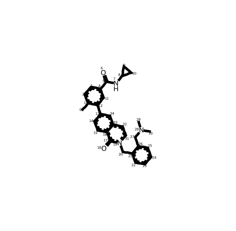 Cc1ccc(C(=O)NC2CC2)cc1-c1ccc2c(=O)n(Cc3ccccc3CN(C)C)ccc2c1